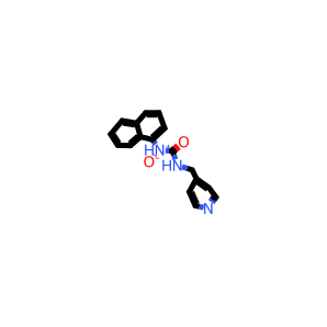 O=C(NCc1ccncc1)[NH+]([O-])c1cccc2ccccc12